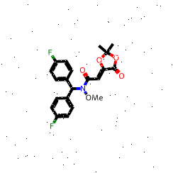 CON(C(=O)C=C1OC(C)(C)OC1=O)C(c1ccc(F)cc1)c1ccc(F)cc1